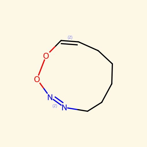 C1=C\OO/N=N\CCCCC/1